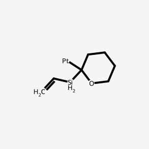 C=C[SiH2][C]1([Pt])CCCCO1